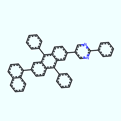 c1ccc(-c2ncc(-c3ccc4c(-c5ccccc5)c5cc(-c6cccc7ccccc67)ccc5c(-c5ccccc5)c4c3)cn2)cc1